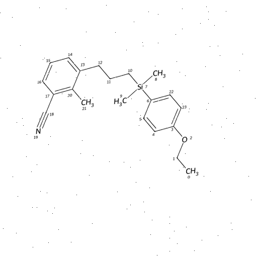 CCOc1ccc([Si](C)(C)CCCc2cccc(C#N)c2C)cc1